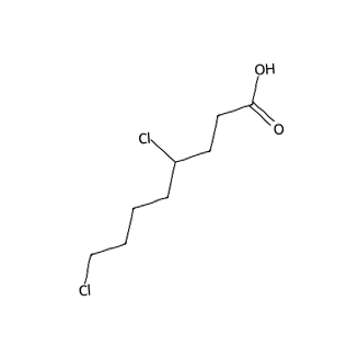 O=C(O)CCC(Cl)CCCCCl